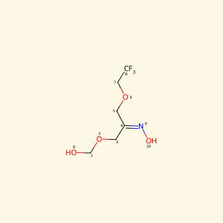 OCOC/C(COCC(F)(F)F)=N\O